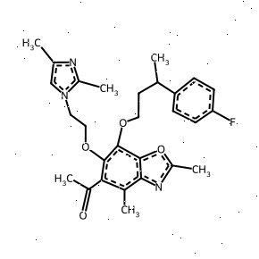 CC(=O)c1c(OCCn2cc(C)nc2C)c(OCCC(C)c2ccc(F)cc2)c2oc(C)nc2c1C